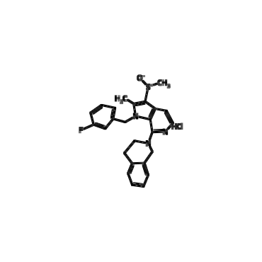 Cc1c([S+](C)[O-])c2ccnc(N3CCc4ccccc4C3)c2n1Cc1cccc(F)c1.Cl